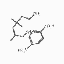 CC(CN)CC(C)(C)CCN.O=C(O)c1ccc(C(=O)O)cc1